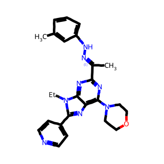 CCn1c(-c2ccncc2)nc2c(N3CCOCC3)nc(/C(C)=N/Nc3cccc(C)c3)nc21